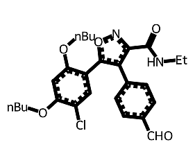 CCCCOc1cc(OCCCC)c(-c2onc(C(=O)NCC)c2-c2ccc(C=O)cc2)cc1Cl